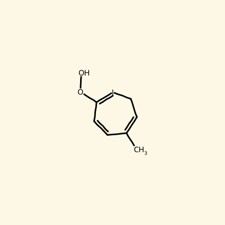 CC1=CCI=C(OO)C=C1